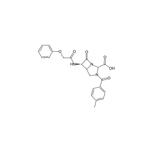 Cc1ccc(C(=O)N2CC3[C@@H](NC(=O)COc4ccccc4)C(=O)N3C2C(=O)O)cc1